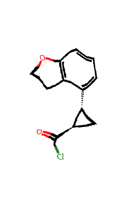 O=C(Cl)[C@@H]1C[C@H]1c1cccc2c1CCO2